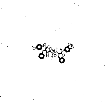 COc1ccc(N(C)C(=O)[C@H](Cc2ccccc2)NC(=O)NS(=O)(=O)N[C@@H](Cc2ccccc2)C(=O)N(C)c2ccc3c(c2)OCO3)cc1